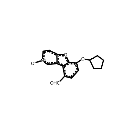 O=Cc1ccc(OC2CCCC2)c2oc3cc[n+]([O-])cc3c12